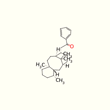 C[C@@H]1CCC[C@@]2(C)CC[C@H]3[C@H](CC(=O)c4ccccc4)CC[C@@H](C[C@H]12)C3(C)C